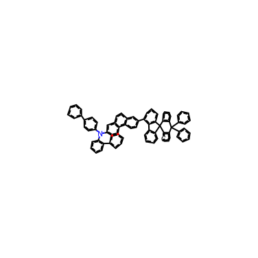 c1ccc(-c2ccc(N(c3ccc4c(ccc5cc(-c6cccc7c6-c6ccccc6C76c7ccccc7C(c7ccccc7)(c7ccccc7)c7ccccc76)ccc54)c3)c3ccccc3-c3ccccc3)cc2)cc1